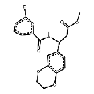 COC(=O)CC(NC(=O)c1cccc(F)n1)c1ccc2c(c1)OCCO2